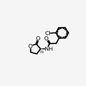 O=C(Cc1ccccc1Cl)N[C@H]1CCOC1=O